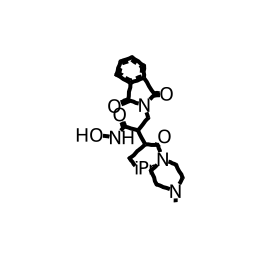 CC(C)CC(C(=O)N1CCN(C)CC1)C(CN1C(=O)c2ccccc2C1=O)C(=O)NO